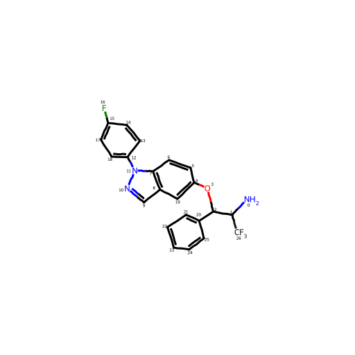 NC(C(Oc1ccc2c(cnn2-c2ccc(F)cc2)c1)c1ccccc1)C(F)(F)F